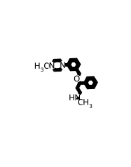 CNCCC(OCc1cccc(N2CCN(C)CC2)c1)c1ccccc1